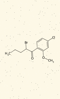 CCCC(Br)C(=O)c1ccc(Cl)cc1OC